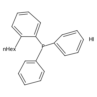 CCCCCCc1ccccc1P(c1ccccc1)c1ccccc1.I